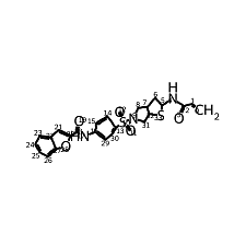 C=CC(=O)NC1CC2CN(S(=O)(=O)c3ccc(NC(=O)c4cc5ccccc5o4)cc3)CC2S1